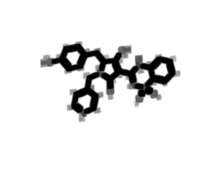 O=C1C(C2=NS(=O)(=O)c3ccccc3N2)=C(O)C(Cc2ccc(O)cc2)N1Cc1ccncc1